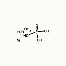 O.O.O=P(O)(O)O.[Ni]